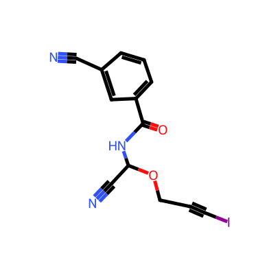 N#Cc1cccc(C(=O)NC(C#N)OCC#CI)c1